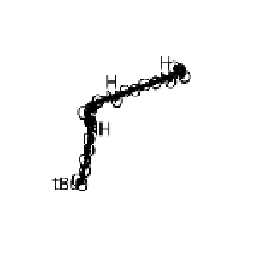 CC(C)(C)OC(=O)CCOCCOCCOCCOCCNc1ccc(C(=O)c2ccc(OCCCNC(=O)CCOCCOCCOCCOCCNC(=O)CCN3C(=O)C=CC3=O)cc2)cc1